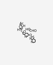 CC(=O)N1C[C@H]2C[C@@H]1CN2Cc1cc2ncc(Oc3nc4ncccc4s3)cc2o1.O=CO